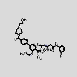 C=C(/C=C(/CC(=O)Nc1cccc(F)c1)NN)NC(=C)c1ccc(-c2ccc(C(=O)N3CCN(CCO)CC3)cc2)cc1/N=C\N